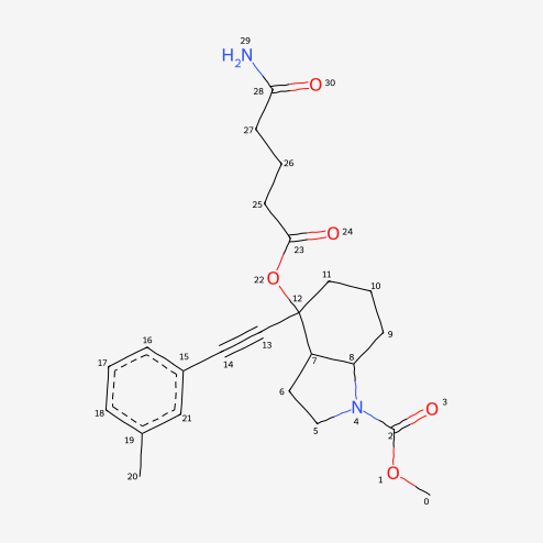 COC(=O)N1CCC2C1CCCC2(C#Cc1cccc(C)c1)OC(=O)CCCC(N)=O